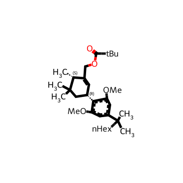 CCCCCCC(C)(C)c1cc(OC)c([C@H]2C=C(COC(=O)C(C)(C)C)[C@@H](C)C(C)(C)C2)c(OC)c1